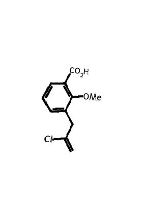 C=C(Cl)Cc1cccc(C(=O)O)c1OC